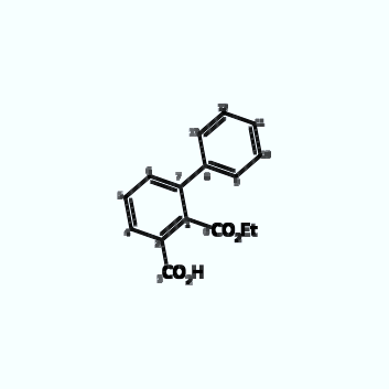 CCOC(=O)c1c(C(=O)O)cccc1-c1ccccc1